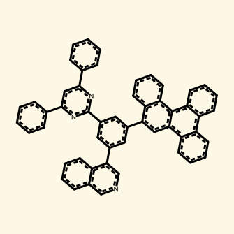 c1ccc(-c2cc(-c3ccccc3)nc(-c3cc(-c4cncc5ccccc45)cc(-c4cc5c6ccccc6c6ccccc6c5c5ccccc45)c3)n2)cc1